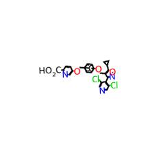 O=C(O)c1ccc(OCC23CCC(OCc4c(-c5c(Cl)cncc5Cl)noc4C4CC4)(CC2)CC3)cn1